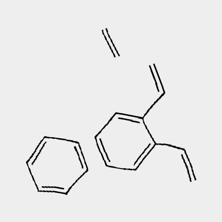 C=C.C=Cc1ccccc1C=C.c1ccccc1